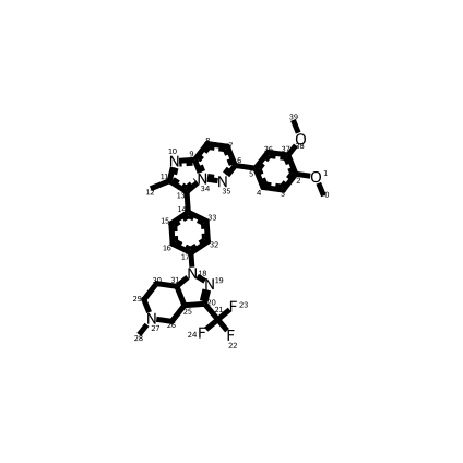 COc1ccc(-c2ccc3nc(C)c(-c4ccc(N5N=C(C(F)(F)F)C6CN(C)CCC65)cc4)n3n2)cc1OC